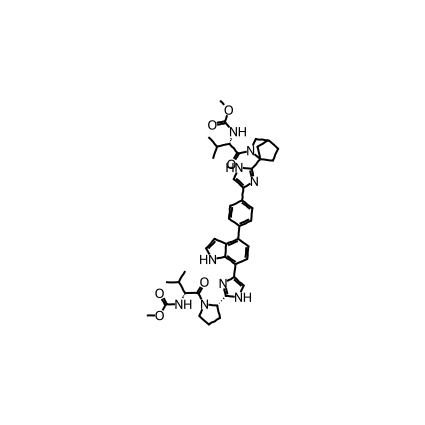 COC(=O)N[C@H](C(=O)N1CC2CCC1(c1nc(-c3ccc(-c4ccc(-c5c[nH]c([C@@H]6CCCN6C(=O)[C@H](NC(=O)OC)C(C)C)n5)c5[nH]ccc45)cc3)c[nH]1)C2)C(C)C